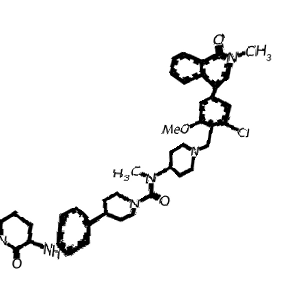 COc1cc(-c2cn(C)c(=O)c3ccccc23)cc(Cl)c1CN1CCC(N(C)C(=O)N2CCC(c3ccc(NC4CCC(=O)NC4=O)cc3)CC2)CC1